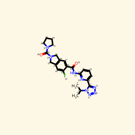 CC(C)n1nnnc1-c1cccc(NC(=O)c2cc3c(cc2F)CN(C(=O)N2CCCC2)C3)n1